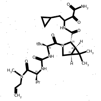 C=CCN(C)C(=O)[C@@H](NC(=O)N[C@H](C(=O)N1C[C@H]2[C@@H]([C@H]1C(=O)NC(CC1CC1)C(=O)C(N)=O)C2(C)C)C(C)(C)C)C(C)C